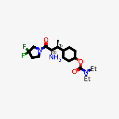 CCN(CC)C(=O)OC1CCC([C@H](C)[C@H](N)C(=O)N2CCC(F)(F)C2)CC1